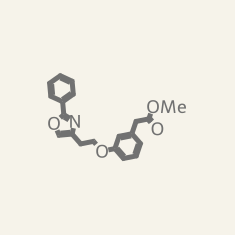 COC(=O)Cc1cccc(OCCc2coc(-c3ccccc3)n2)c1